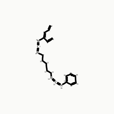 C=C/C=C(\C=C)N=C=NCCCCCN=C=Nc1ccccc1